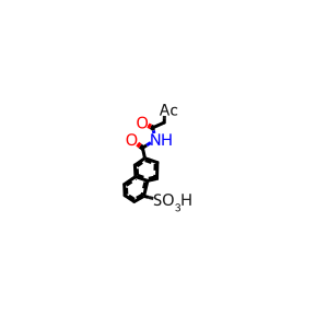 CC(=O)CC(=O)NC(=O)c1ccc2c(S(=O)(=O)O)cccc2c1